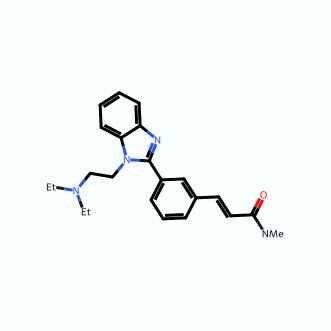 CCN(CC)CCn1c(-c2cccc(/C=C/C(=O)NC)c2)nc2ccccc21